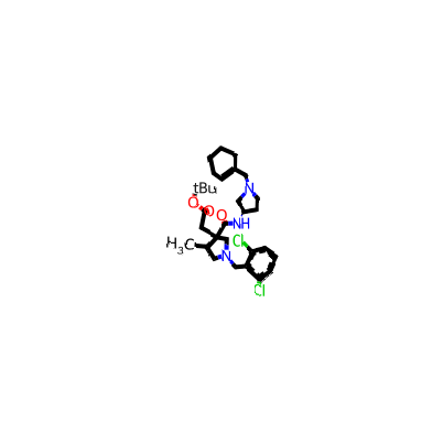 CC1CN(Cc2c(Cl)cccc2Cl)CC1(CC(=O)OC(C)(C)C)C(=O)N[C@H]1CCN(CC2=CCCCC2)C1